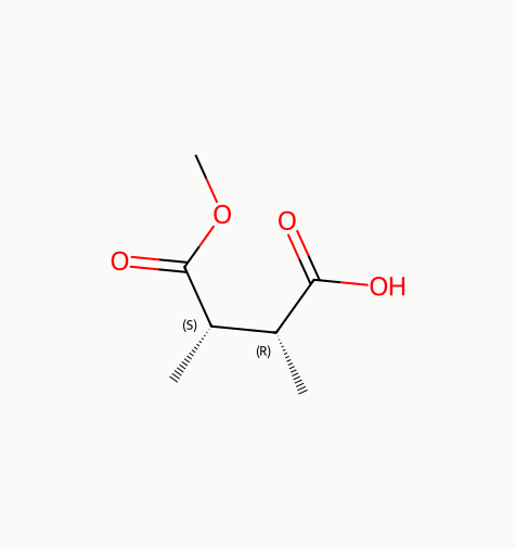 COC(=O)[C@@H](C)[C@@H](C)C(=O)O